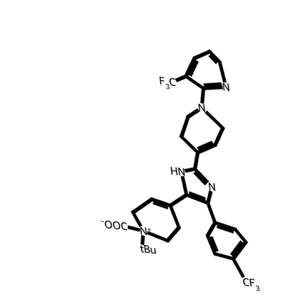 CC(C)(C)[N+]1(C(=O)[O-])CC=C(c2[nH]c(C3=CCN(c4ncccc4C(F)(F)F)CC3)nc2-c2ccc(C(F)(F)F)cc2)CC1